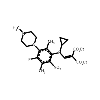 CCOC(=O)C(=CN(c1c(C)c(N2CCN(C)CC2)c(F)c(C)c1[N+](=O)[O-])C1CC1)C(=O)OCC